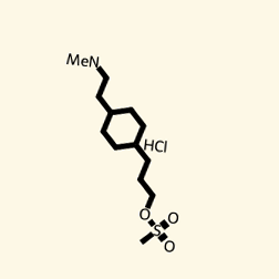 CNCCC1CCC(CCCOS(C)(=O)=O)CC1.Cl